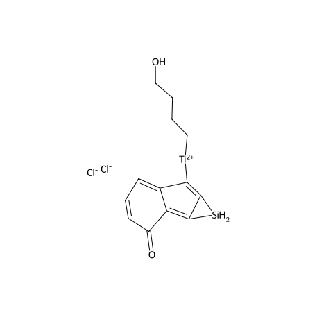 O=C1C=CC=C2[C]([Ti+2][CH2]CCCO)=C3[SiH2]C3=C12.[Cl-].[Cl-]